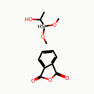 CO[SiH](OC)C(C)O.O=C1OC(=O)c2ccccc21